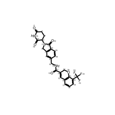 O=C1CCC(N2Cc3cc(CNC(=O)C4=Cc5cccc(C(F)(F)F)c5OC4)ccc3C2=O)C(=O)N1